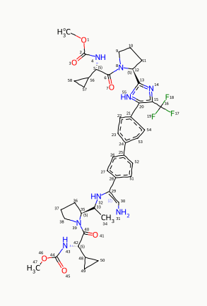 COC(=O)N[C@H](C(=O)N1CCC[C@H]1c1nc(C(F)(F)F)c(-c2ccc(-c3ccc(/C(=C/N)NC(C)[C@@H]4CCCN4C(=O)[C@@H](NC(=O)OC)C4CC4)cc3)cc2)[nH]1)C1CC1